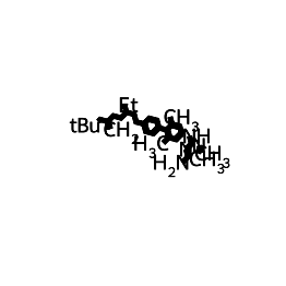 C=C(CCC(CC)CCc1ccc(-c2c(C)cc(NC(=N/C)/N=C(\C)N)cc2C)cc1)CC(C)(C)C